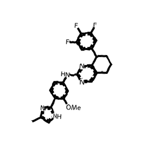 COc1cc(Nc2ncc3c(n2)C(c2cc(F)c(F)c(F)c2)CCC3)ccc1-c1nc(C)c[nH]1